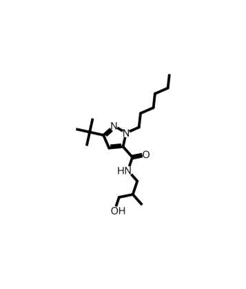 CCCCCCn1nc(C(C)(C)C)cc1C(=O)NCC(C)CO